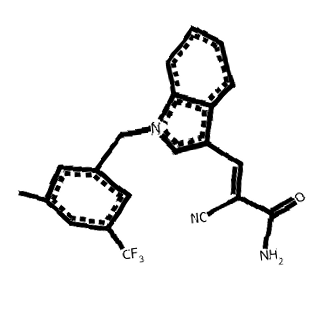 Cc1cc(Cn2cc(/C=C(\C#N)C(N)=O)c3ccccc32)cc(C(F)(F)F)c1